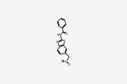 O=C(Nc1nc2ccc(C[SH](=O)=O)cc2s1)c1ccccc1